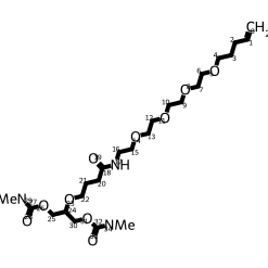 C=CCCCOCCOCCOCCOCCNC(=O)CCCOC(COC(=O)NC)COC(=O)NC